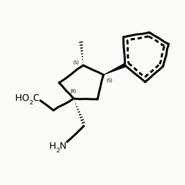 C[C@H]1C[C@](CN)(CC(=O)O)C[C@@H]1c1ccccc1